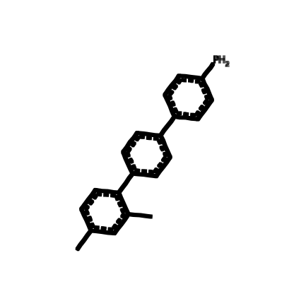 Cc1ccc(-c2ccc(-c3ccc(P)cc3)cc2)c(C)c1